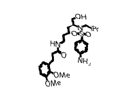 COc1cccc(CCC(=O)NCCCC[C@@H](CO)N(CC(C)C)S(=O)(=O)c2ccc(N)cc2)c1OC